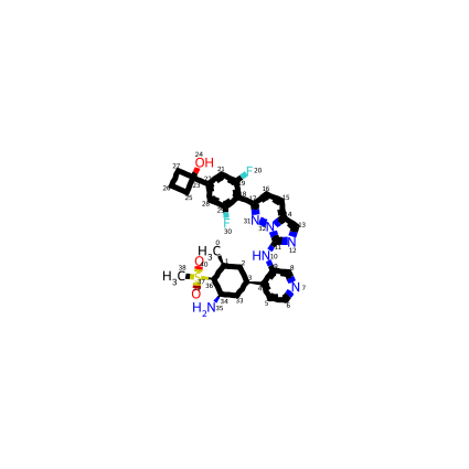 C[C@H]1C[C@@H](c2ccncc2Nc2ncc3ccc(-c4c(F)cc(C5(O)CCC5)cc4F)nn23)C[C@@H](N)[C@H]1S(C)(=O)=O